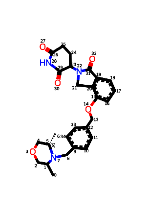 CC1COC[C@H](C)N1Cc1ccc(COc2cccc3c2CN(C2CCC(=O)NC2=O)C3=O)cc1